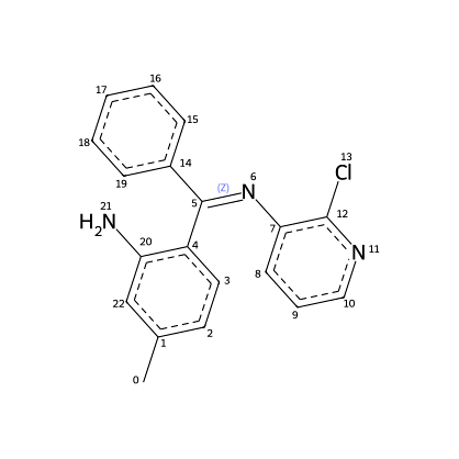 Cc1ccc(/C(=N\c2cccnc2Cl)c2ccccc2)c(N)c1